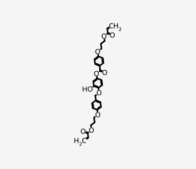 C=CC(=O)OCCCOc1ccc(COc2ccc(OC(=O)c3ccc(OCCCOC(=O)C=C)cc3)cc2O)cc1